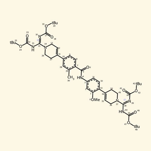 COc1cc(NC(=O)c2ccc(C3=CCN(/C(=N\C(=O)OC(C)(C)C)NC(=O)OC(C)(C)C)CC3)cc2C)ccc1C1=CCN(/C(=N\C(=O)OC(C)(C)C)NC(=O)OC(C)(C)C)CC1